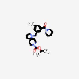 CC(OC(=O)N1CCC2(CCCN2Cc2cc(C(=O)N3CCCCC3)cc(C(F)(F)F)c2)CC1)C(F)(F)F